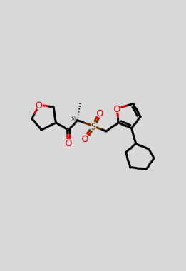 C[C@@H](C(=O)C1CCOC1)S(=O)(=O)Cc1occc1C1CCCCC1